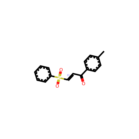 Cc1ccc(C(=O)/C=C/S(=O)(=O)c2ccccc2)cc1